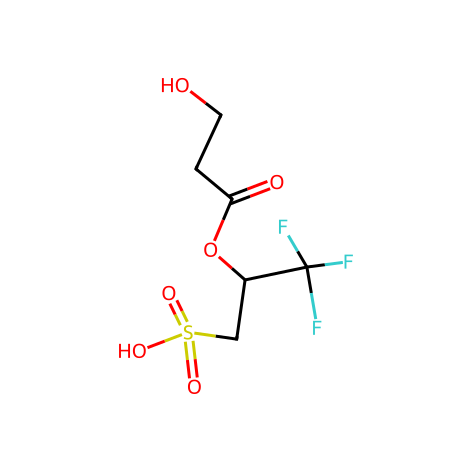 O=C(CCO)OC(CS(=O)(=O)O)C(F)(F)F